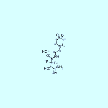 CC(C)[C@H](N)[C@@H](O)C(F)(F)C(=O)NCCN1CCS(=O)(=O)CC1.Cl